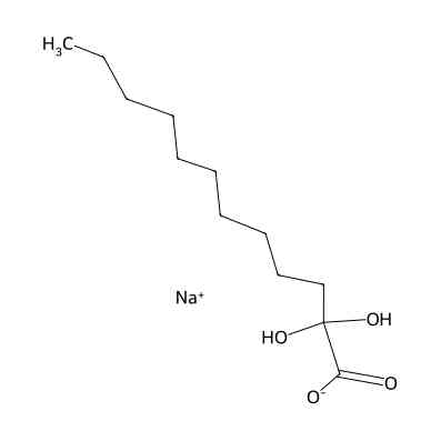 CCCCCCCCCCC(O)(O)C(=O)[O-].[Na+]